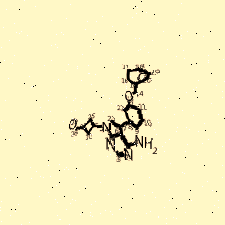 Nc1ncnc2c1c(-c1cccc(OCC34CCC(CC3)O4)c1)cn2C1CC(C=O)C1